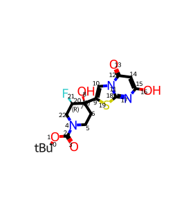 CC(C)(C)OC(=O)N1CC[C@@](O)(c2cn3c(=O)cc(O)nc3s2)[C@H](F)C1